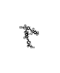 CC(=O)OC1c2cc3c(cc2C(=O)N1CCC1CCN(C(=O)OC(C)(C)C)C(CC2Oc4cc5c(cc4O2)C(=O)N(CCC2CCN(C(=O)OC(C)(C)C)CC2)C5)C1)OCO3